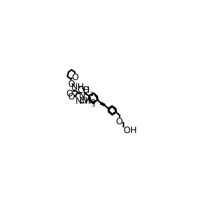 CNC(=O)C(C)(C(=O)NOC1CCCCO1)N(C)C(=O)c1ccc(C#Cc2ccc(COCCO)cc2)cc1